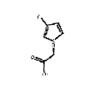 O=C(O)C[SH]1C=CC(Cl)=C1